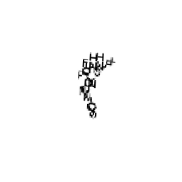 COc1ccc(CN(C)c2cc3nc(C)c(-c4cc(NC(=O)NCC5CC(C)(C)C5)c(F)cc4F)cc3cn2)cc1